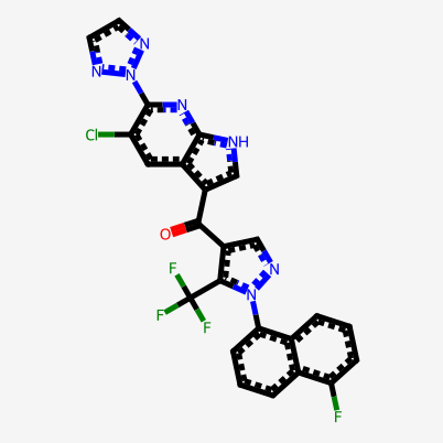 O=C(c1cnn(-c2cccc3c(F)cccc23)c1C(F)(F)F)c1c[nH]c2nc(-n3nccn3)c(Cl)cc12